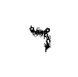 CC1CC2CC(C1)C(NC(=O)c1cnc(N3CC4(CCCCC4)c4cc(OC5CCN(c6ncc(F)cn6)CC5)ncc43)nc1C(F)(F)F)(C(=O)O)C2